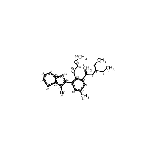 C=C(CC(CC)CC)c1cc(C)cc(-c2sc3ccccc3c2Br)c1OCOC